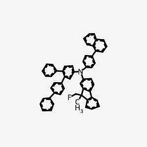 CC1(CF)c2ccccc2-c2ccc(N(c3ccc(-c4cccc5ccccc45)cc3)c3ccc(-c4ccccc4)c(-c4ccc(-c5ccccc5)cc4)c3)cc21